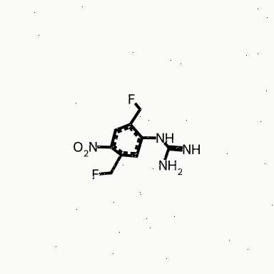 N=C(N)Nc1cc(CF)c([N+](=O)[O-])cc1CF